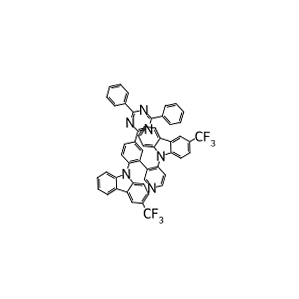 FC(F)(F)c1ccc2c(c1)c1ccccc1n2-c1ccncc1-c1cc(-c2nc(-c3ccccc3)nc(-c3ccccc3)n2)ccc1-n1c2ccccc2c2cc(C(F)(F)F)ccc21